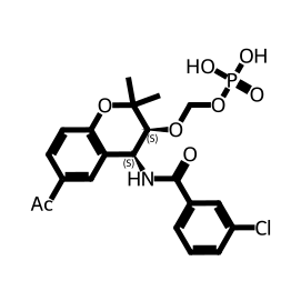 CC(=O)c1ccc2c(c1)[C@H](NC(=O)c1cccc(Cl)c1)[C@H](OCOP(=O)(O)O)C(C)(C)O2